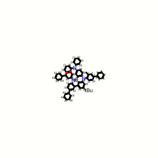 Cc1cc(-c2ccccc2)ccc1N1c2ccc(N(c3ccccc3)c3ccccc3)cc2B2c3c(cc(C(C)(C)C)cc31)-c1cc(-c3ccccc3)ccc1N2c1cccc(-c2ccccc2)c1